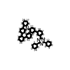 c1ccc(-c2nc(-c3ccccc3)nc(-c3cccc(-c4ccc(-n5c6ccccc6c6ccc(-c7ccccc7-c7ccccc7)cc65)cc4)c3)n2)cc1